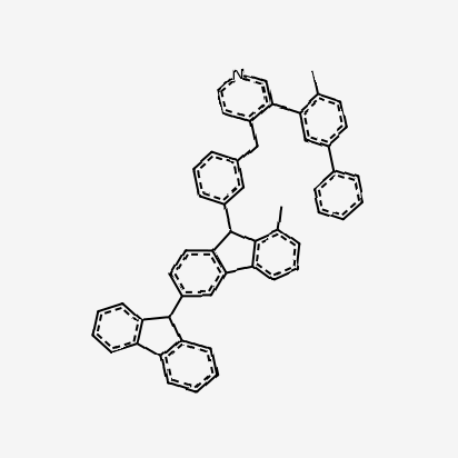 Cc1ccc(-c2ccccc2)cc1-c1cnccc1Cc1cccc(C2c3ccc(C4c5ccccc5-c5ccccc54)cc3-c3cccc(C)c32)c1